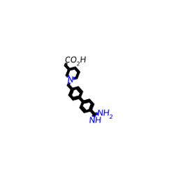 N=C(N)c1ccc(-c2ccc(CN3CCCC(CC(=O)O)C3)cc2)cc1